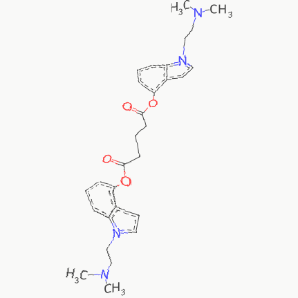 CN(C)CCn1ccc2c(OC(=O)CCCC(=O)Oc3cccc4c3ccn4CCN(C)C)cccc21